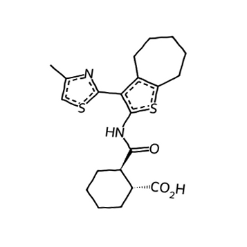 Cc1csc(-c2c(NC(=O)[C@@H]3CCCC[C@H]3C(=O)O)sc3c2CCCCC3)n1